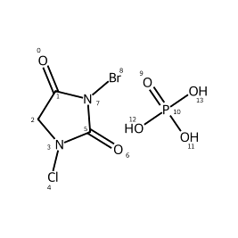 O=C1CN(Cl)C(=O)N1Br.O=P(O)(O)O